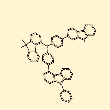 CC1(C)c2ccccc2-c2c(N(c3ccc(-c4ccc5c(c4)sc4ccccc45)cc3)c3ccc(-c4cccc5c4c4ccccc4n5-c4ccccc4)cc3)cccc21